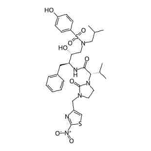 CC(C)CN(C[C@@H](O)[C@H](Cc1ccccc1)NC(=O)[C@H](C(C)C)N1CCN(Cc2csc([N+](=O)[O-])n2)C1=O)S(=O)(=O)c1ccc(O)cc1